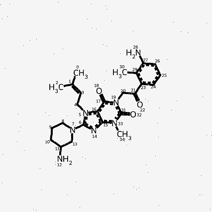 CC(C)=CCn1c(N2CCCC(N)C2)nc2c1c(=O)n(CC(=O)c1cccc(N)c1C)c(=O)n2C